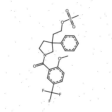 COc1ccc(C(F)(F)F)cc1C(=O)N1CCC(CCOS(C)(=O)=O)(c2ccccc2)C1